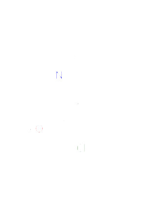 C/C=C(/C(=O)Cl)N(C)C